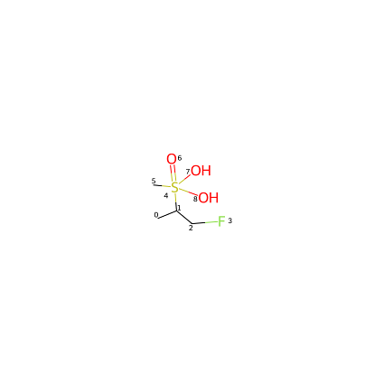 CC(CF)S(C)(=O)(O)O